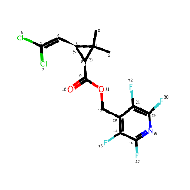 CC1(C)[C@H](C=C(Cl)Cl)[C@@H]1C(=O)OCc1c(F)c(F)nc(F)c1F